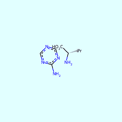 CC(C)[C@H](N)C(=O)O.Nc1ncncn1